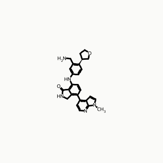 Cn1ccc2c(-c3ccc(Nc4ccc([C@H]5CCOC5)c(CN)c4)c4c3CNC4=O)ccnc21